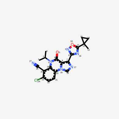 CC(C)n1c(=O)c2c(-c3noc(C4(C)CC4)n3)ncn2c2ccc(Cl)c(C#N)c21